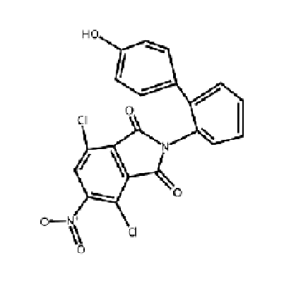 O=C1c2c(Cl)cc([N+](=O)[O-])c(Cl)c2C(=O)N1c1ccccc1-c1ccc(O)cc1